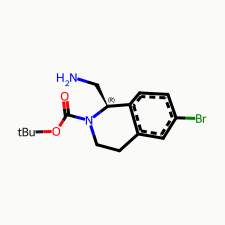 CC(C)(C)OC(=O)N1CCc2cc(Br)ccc2[C@@H]1CN